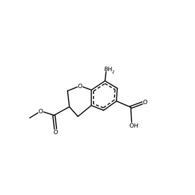 Bc1cc(C(=O)O)cc2c1OCC(C(=O)OC)C2